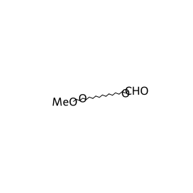 COCCOCCCCCCCCCCCCOC=O